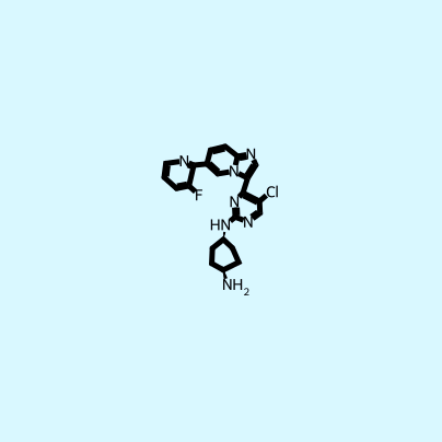 N[C@H]1CC[C@H](Nc2ncc(Cl)c(-c3cnc4ccc(-c5ncccc5F)cn34)n2)CC1